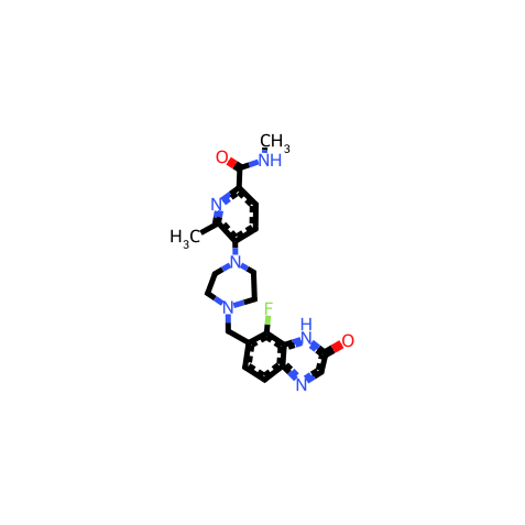 CNC(=O)c1ccc(N2CCN(Cc3ccc4ncc(=O)[nH]c4c3F)CC2)c(C)n1